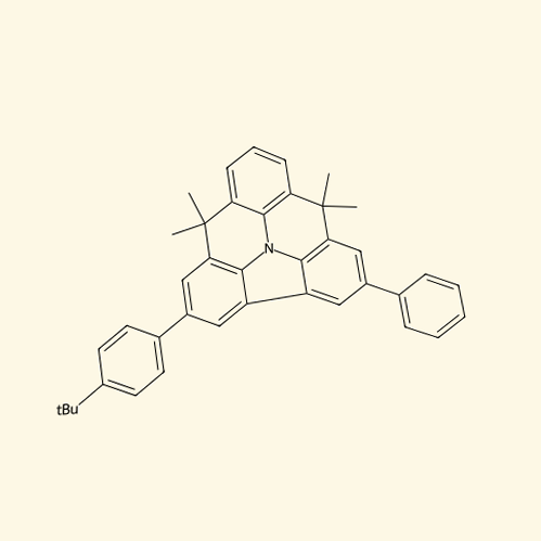 CC(C)(C)c1ccc(-c2cc3c4c(c2)c2cc(-c5ccccc5)cc5c2n4-c2c(cccc2C3(C)C)C5(C)C)cc1